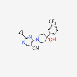 N#Cc1cnc(C2CC2)nc1N1CCC(O)(c2cccc(C(F)(F)F)c2)CC1